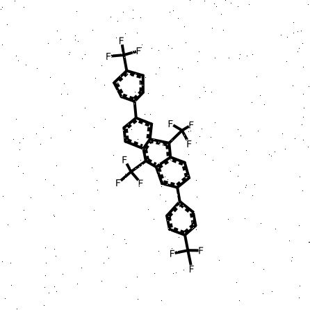 FC(F)(F)c1ccc(-c2ccc3c(C(F)(F)F)c4cc(-c5ccc(C(F)(F)F)cc5)ccc4c(C(F)(F)F)c3c2)cc1